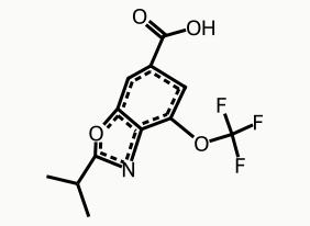 CC(C)c1nc2c(OC(F)(F)F)cc(C(=O)O)cc2o1